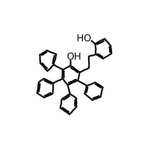 Oc1ccccc1CCc1c(O)c(-c2ccccc2)c(-c2ccccc2)c(-c2ccccc2)c1-c1ccccc1